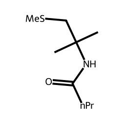 CCCC(=O)NC(C)(C)CSC